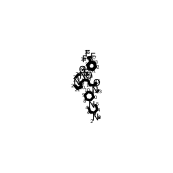 CN(C)C1CCN(C2CCCC(N(C)C(=O)CCC3c4cccn4CCN3S(=O)(=O)c3cccc(C(F)(F)F)c3)C2)CC1